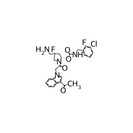 CC(=O)c1cn(CC(=O)N2C[C@@](F)(CN)C[C@@H]2OC(=O)NCc2cccc(Cl)c2F)c2ccccc12